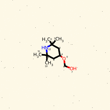 CC1(C)CC(OCO)CC(C)(C)N1